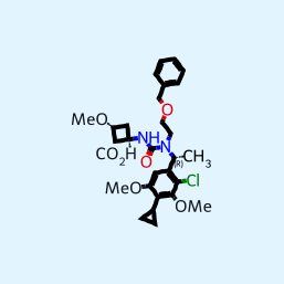 COc1cc([C@@H](C)N(CCOCc2ccccc2)C(=O)N[C@]2(C(=O)O)C[C@@H](OC)C2)c(Cl)c(OC)c1C1CC1